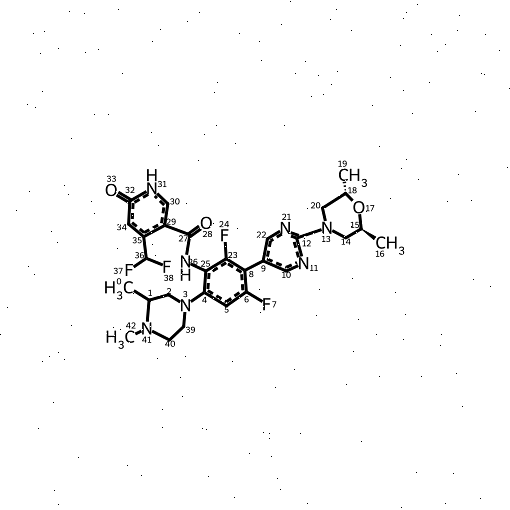 CC1CN(c2cc(F)c(-c3cnc(N4C[C@H](C)O[C@@H](C)C4)nc3)c(F)c2NC(=O)c2c[nH]c(=O)cc2C(F)F)CCN1C